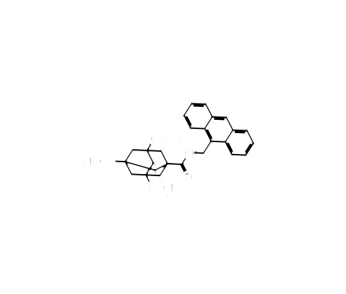 O=C(O)C12CC3(C(=O)O)CC(C(=O)O)(C1)CC(C(=O)OCc1c4ccccc4cc4ccccc14)(C2)C3